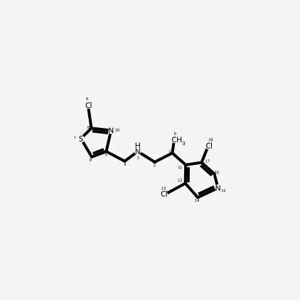 CC(CNCc1csc(Cl)n1)c1c(Cl)cncc1Cl